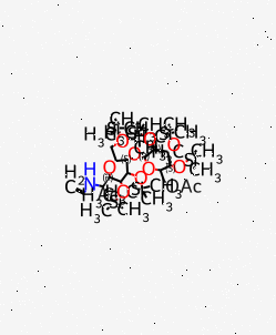 C=CNC(C(C)=O)[C@H]1OC(CO[Si](C)(C)C)[C@H](O[C@H]2OC(COC(C)=O)[C@H](O[Si](C)(C)C)C(O[Si](C)(C)C)[C@H]2O[Si](C)(C)C)C(O[Si](C)(C)C)C1O[Si](C)(C)C